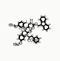 CC(C)(C)Oc1ccc(C[C@H](NC(=O)OCC2c3ccccc3-c3ccccc32)C(=O)N[C@H](Cc2ccc(OC(C)(C)C)cc2)C(=O)N[C@@H](Cc2ccccc2)C(=O)O)cc1